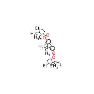 CCC1CCC(OCOc2ccc3c(c2)C(C)(C)c2cc(OC(=O)C4CCC(CC)C(C)C4C)ccc2-3)C(C)C1C